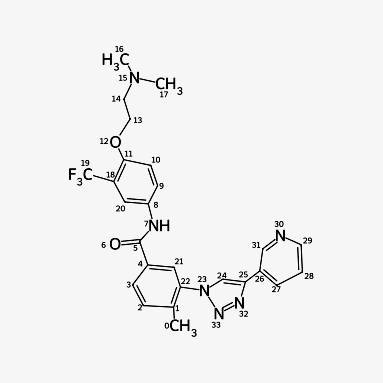 Cc1ccc(C(=O)Nc2ccc(OCCN(C)C)c(C(F)(F)F)c2)cc1-n1cc(-c2cccnc2)nn1